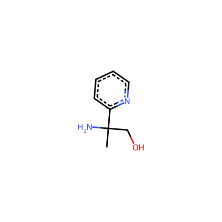 CC(N)(CO)c1ccccn1